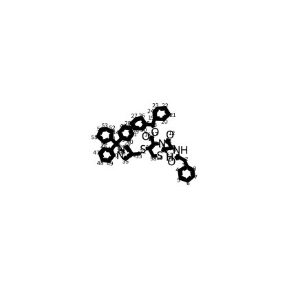 O=C(Cc1ccccc1)N[C@@H]1C(=O)N2C(C(=O)OC(c3ccccc3)c3ccccc3)=C(SCc3cnn(C(c4ccccc4)(c4ccccc4)c4ccccc4)c3)CS[C@@H]12